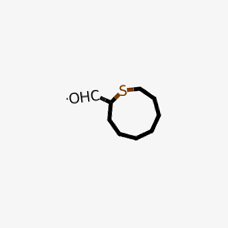 O=[C]C1CCCCCCCS1